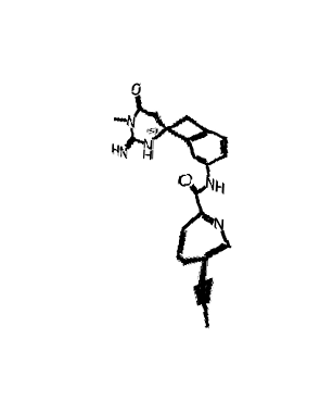 CC#Cc1ccc(C(=O)Nc2ccc3c(c2)[C@@]2(CC(=O)N(C)C(=N)N2)C3)nc1